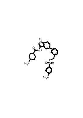 Cc1ccc(S(=O)(=O)OCc2cccc(-c3ccc4[nH]nc(NC(=O)C5CCN(C)CC5)c4c3)c2)cc1